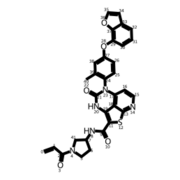 C=CC(=O)N1CCC(NC(=O)c2sc3nccc4c3c2NC(=O)N4c2ccc(Oc3cccc4ccoc34)cc2C)C1